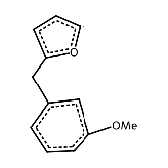 COc1cccc(Cc2cc[c]o2)c1